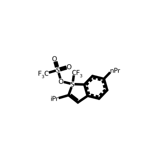 CCCc1ccc2c(c1)S(OS(=O)(=O)C(F)(F)F)(C(F)(F)F)C(C(C)C)=C2